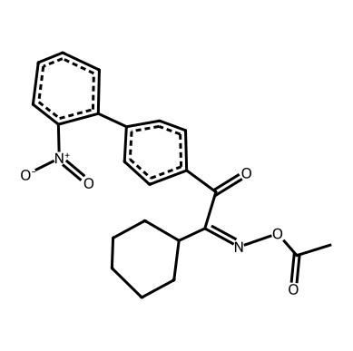 CC(=O)O/N=C(\C(=O)c1ccc(-c2ccccc2[N+](=O)[O-])cc1)C1CCCCC1